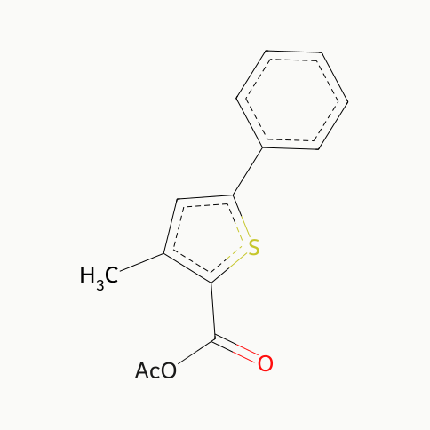 CC(=O)OC(=O)c1sc(-c2ccccc2)cc1C